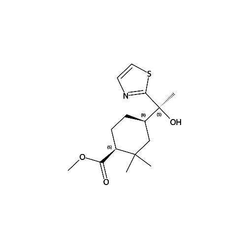 COC(=O)[C@H]1CC[C@@H]([C@](C)(O)c2nccs2)CC1(C)C